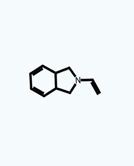 C=CN1CC2C=CC=CC2C1